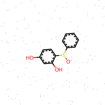 [O-][S+](c1ccccc1)c1ccc(O)cc1O